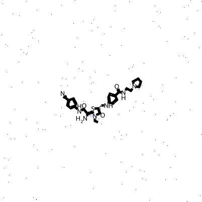 CCN1C(=O)[C@@H](CNc2ccc(C(=O)NCCN3CCCC3)cc2)S/C1=C(/N)C(=O)Nc1ccc(C#N)cc1